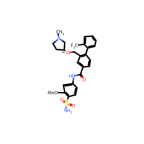 COc1cc(NC(=O)c2ccc(-c3ccccc3C(F)(F)F)c(CO[C@@H]3CCN(C)C3)c2)ccc1S(N)(=O)=O